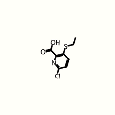 CCSc1ccc(Cl)nc1C(=O)O